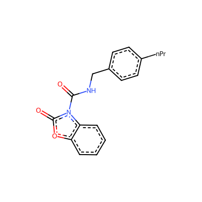 CCCc1ccc(CNC(=O)n2c(=O)oc3ccccc32)cc1